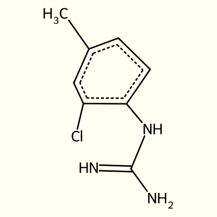 Cc1ccc(NC(=N)N)c(Cl)c1